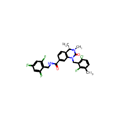 Cc1ccc(Cl)c(CN2C(=O)N(C)[C@@H](C)c3ccc(C(=O)NCc4c(F)cc(F)cc4F)cc32)c1F